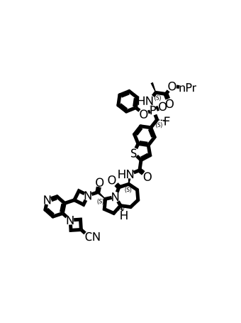 CCCOC(=O)[C@H](C)NP(=O)(Oc1ccccc1)[C@H](F)c1ccc2sc(C(=O)N[C@H]3CCC[C@H]4CC[C@@H](C(=O)N5CC(c6cnccc6N6CC(C#N)C6)C5)N4C3=O)cc2c1